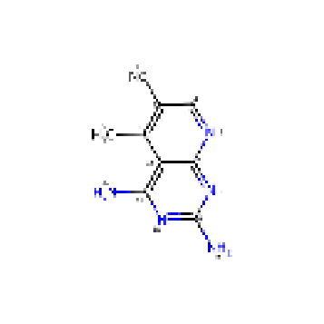 Cc1c(C#N)cnc2nc(N)nc(N)c12